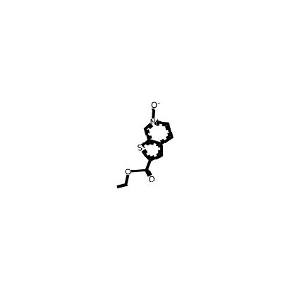 CCOC(=O)c1cc2cc[n+]([O-])cc2s1